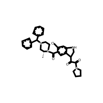 C[C@@H]1CN(C(c2ccccc2)c2ccccc2)CCN1C(=O)c1cc2c(cc1Cl)NCC2C(=O)C(=O)N1CCCC1